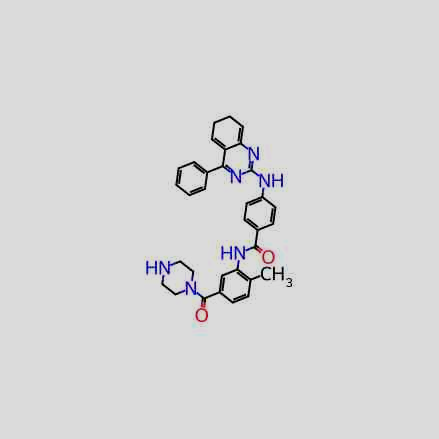 Cc1ccc(C(=O)N2CCNCC2)cc1NC(=O)c1ccc(Nc2nc(-c3ccccc3)c3c(n2)=CCCC=3)cc1